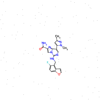 Cc1cc(-c2cnc(NCc3c(F)ccc4occc34)n3cc(C(N)=O)nc23)n(C)n1